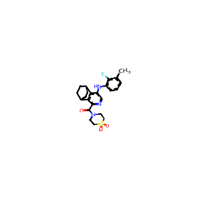 Cc1cccc(Nc2cnc(C(=O)N3CCS(=O)(=O)CC3)c3c2C2CCC3CC2)c1F